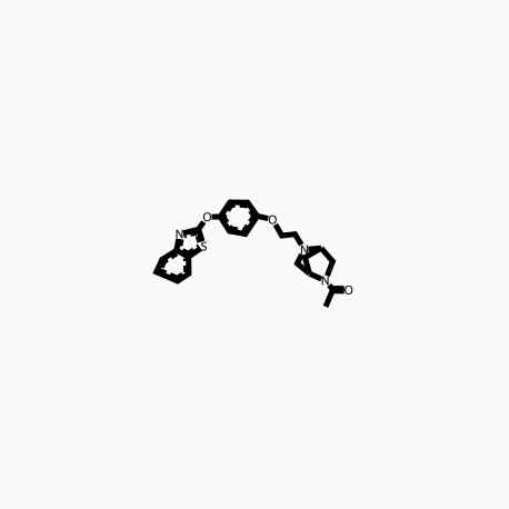 CC(=O)N1CC2CC1CN2CCOc1ccc(Oc2nc3ccccc3s2)cc1